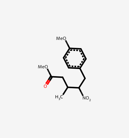 COC(=O)CC(C)C(Cc1ccc(OC)cc1)[N+](=O)[O-]